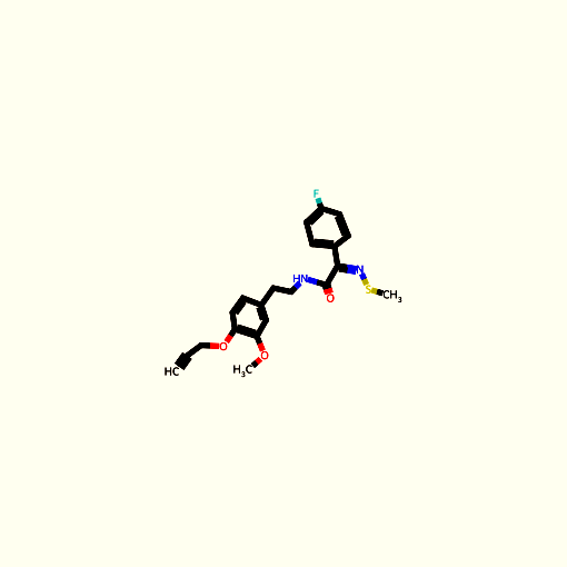 C#CCOc1ccc(CCNC(=O)/C(=N\SC)c2ccc(F)cc2)cc1OC